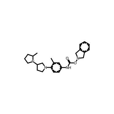 Cc1cc(NC(=O)ON2Cc3ccccc3C2)ccc1N1CCC(N2CCCC2C)C1